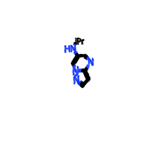 CC(C)Nc1cnc2ccnn2c1